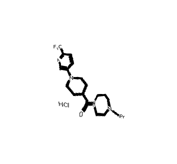 CC(C)N1CCCN(C(=O)C2CCN(c3ccc(C(F)(F)F)nc3)CC2)CC1.Cl